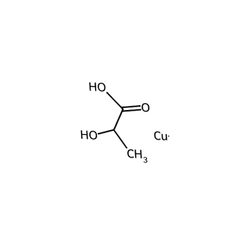 CC(O)C(=O)O.[Cu]